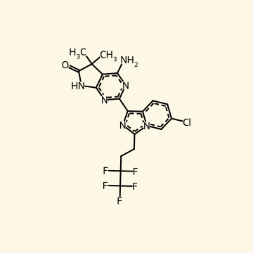 CC1(C)C(=O)Nc2nc(-c3nc(CCC(F)(F)C(F)(F)F)n4cc(Cl)ccc34)nc(N)c21